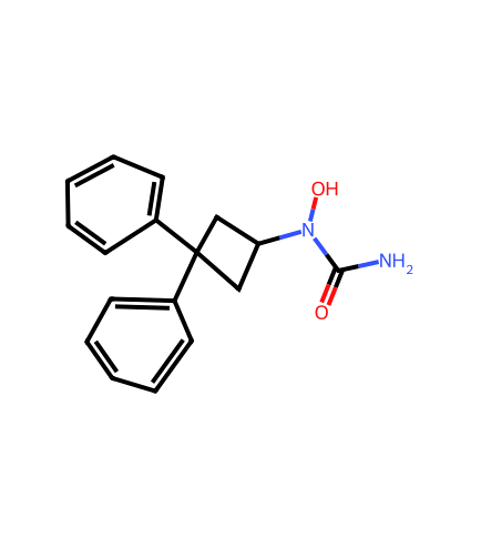 NC(=O)N(O)C1CC(c2ccccc2)(c2ccccc2)C1